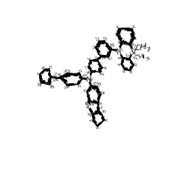 C[Si]1(C)c2ccccc2N(c2cccc(-c3ccc(N(c4ccc(-c5ccccc5)cc4)c4ccc5c(c4)sc4ccccc45)cc3)c2)c2ccccc21